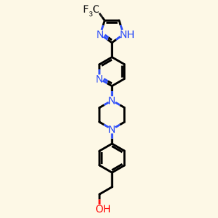 OCCc1ccc(N2CCN(c3ccc(-c4nc(C(F)(F)F)c[nH]4)cn3)CC2)cc1